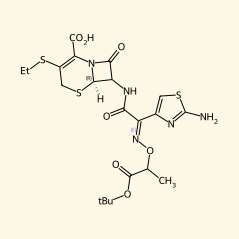 CCSC1=C(C(=O)O)N2C(=O)C(NC(=O)/C(=N/OC(C)C(=O)OC(C)(C)C)c3csc(N)n3)[C@H]2SC1